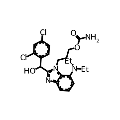 CCN(CC)c1cccc2nc(C(O)c3ccc(Cl)cc3Cl)n(CCCOC(N)=O)c12